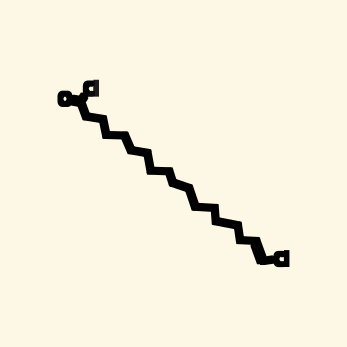 O=C(Cl)CCCCCCCCCCCCCCCC=CCl